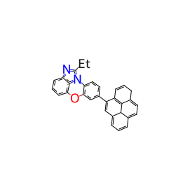 CCc1nc2cccc3c2n1-c1ccc(C2=CC4=CC=CC5=CC=C6CC=CC2=C6C54)cc1O3